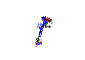 CCc1cc(Nc2ncc(Br)c(Nc3ccc4nccnc4c3P(C)(C)=O)n2)c(OC)cc1N1CCC(N2CCN(CCc3ccc(C4CCC(=O)NC4=O)c(Cl)c3)CC2)CC1